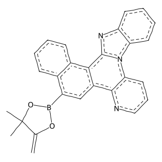 C=C1OB(c2cc3c4ncccc4n4c5ccccc5nc4c3c3ccccc23)OC1(C)C